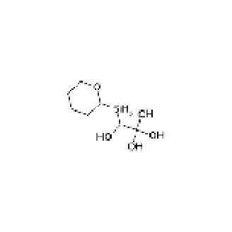 OC([SiH2]C1CCCCO1)C(O)(O)O